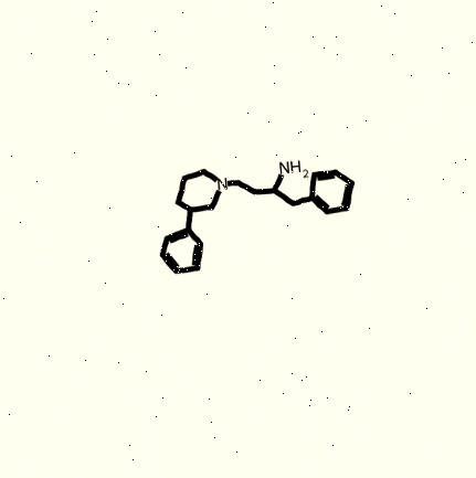 NC(CCN1CCCC(c2ccccc2)C1)Cc1ccccc1